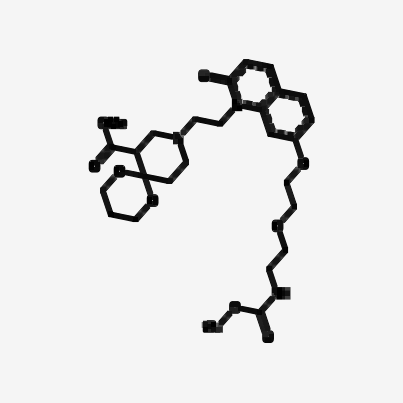 COC(=O)C1CN(CCn2c(=O)ccc3ccc(OCCOCCNC(=O)OC(C)(C)C)cc32)CCC12OCCCO2